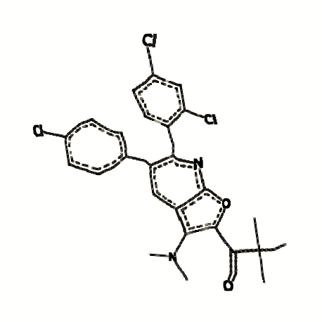 CN(C)c1c(C(=O)C(C)(C)C)oc2nc(-c3ccc(Cl)cc3Cl)c(-c3ccc(Cl)cc3)cc12